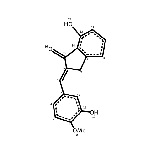 COc1ccc(/C=C2\Cc3cccc(O)c3C2=O)cc1O